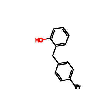 CC(C)c1ccc(Cc2ccccc2O)cc1